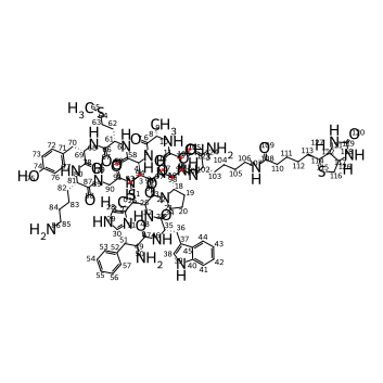 CSCC[C@H](NC(=O)[C@H](C)NC(=O)[C@H](C)NC(=O)[C@@H]1CCCN1C(=O)[C@H](Cc1c[nH]cn1)NC(=O)[C@H](Cc1c[nH]c2ccccc12)NC(=O)[C@@H](N)Cc1ccccc1)C(=O)N[C@@H](CCSC)C(=O)N[C@@H](Cc1ccc(O)cc1)C(=O)N[C@@H](CCCCN)C(=O)NCC(=O)NCC(=O)NCC(=O)N[C@@H](CCCCNC(=O)CCCC[C@@H]1SC[C@@H]2NC(=O)N[C@@H]21)C(N)=O